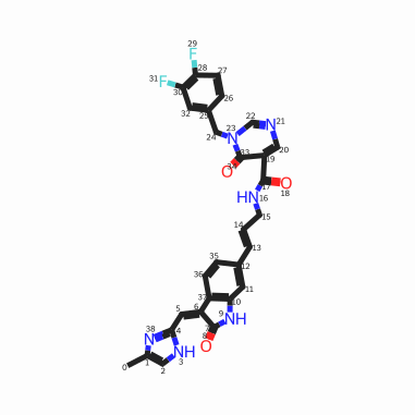 Cc1c[nH]c(/C=C2\C(=O)Nc3cc(/C=C/CNC(=O)c4cncn(Cc5ccc(F)c(F)c5)c4=O)ccc32)n1